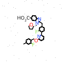 Cc1ccc(COc2cccc(-c3ccc(Cc4nc5ccc(C(=O)O)cc5n4C[C@@H]4CCCO4)cc3F)n2)c(F)c1